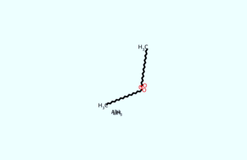 CCCCCCCCCCCCCCCCCC(=O)OC(=O)CCCCCCCCCCCCCCCCC.[AlH3].[LiH]